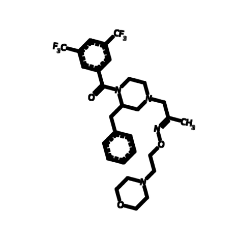 CC(CN1CCN(C(=O)c2cc(C(F)(F)F)cc(C(F)(F)F)c2)C(Cc2ccccc2)C1)=NOCCN1CCOCC1